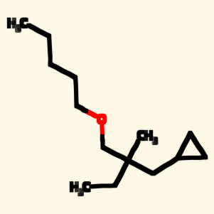 CCCCCOCC(C)(CC)CC1CC1